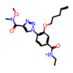 C=CCCCOc1cc(C(=O)NCC)ccc1-n1cc(C(=O)N(C)OC)nn1